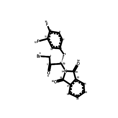 O=C(CBr)[C@H](Cc1ccc(F)c(F)c1)N1C(=O)c2ccccc2C1=O